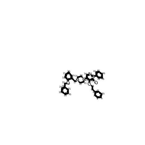 O=c1c(OCCc2ccccc2)c(N2CCN(Cc3ccccc3OCc3ccccc3)CC2)cnn1-c1ccccc1